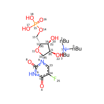 CCCCN(CCCC)CCCC.O=c1[nH]c(=O)n([C@@H]2O[C@H](COP(=O)(O)O)[C@@H](O)[C@H]2O)cc1F